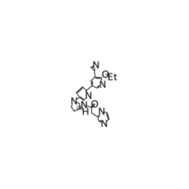 CCOc1ncc(-c2ccc3c(n2)N(C(=O)Cc2cnccn2)[C@H]2CCN3C2)cc1C1C=N1